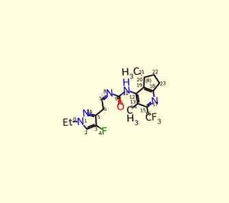 CCn1cc(F)c(C/C=N\C(=O)Nc2c(C)c(C(F)(F)F)nc3c2[C@H](C)CC3)n1